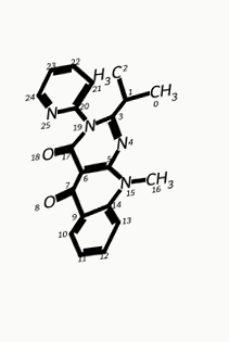 CC(C)c1nc2c(c(=O)c3ccccc3n2C)c(=O)n1-c1ccccn1